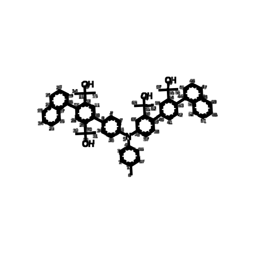 Cc1ccc(N(c2ccc(-c3cc(C(C)(C)O)c(-c4cccc5ccccc45)cc3C(C)(C)O)cc2)c2ccc(-c3ccc(-c4cccc5ccccc45)c(C(C)(C)O)c3)c(C(C)(C)O)c2)cc1